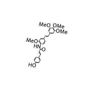 COc1cc(/C=C/c2cc(OC)c(OC)c(OC)c2)ccc1NC(=O)/C=C/c1ccc(O)cc1